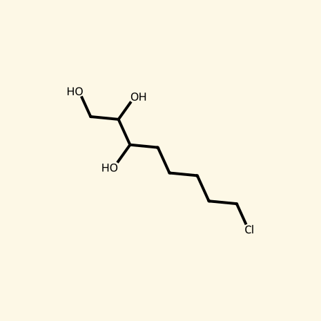 OCC(O)C(O)CCCCCCl